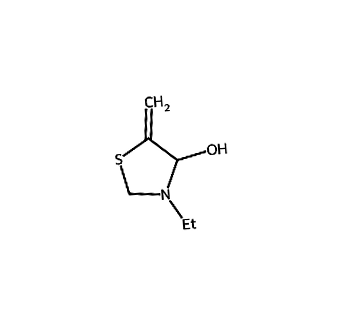 C=C1SCN(CC)C1O